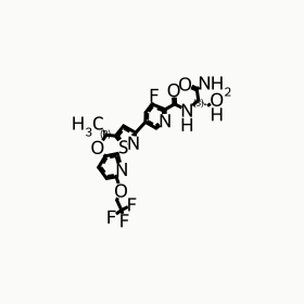 C[C@@H](Oc1ccc(OCC(F)(F)F)nc1)c1cc(-c2cnc(C(=O)N[C@@H](CO)C(N)=O)c(F)c2)ns1